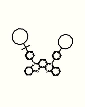 CC(C)(c1ccc(-n2c3ccccc3sc3c4sc5ccccc5n(-c5ccc(C6CCCCCCCCC6)cc5)c4ccc32)cc1)C1CCCCCCCCCC1